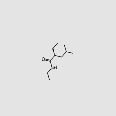 CCNC(=O)[C@@H](CC)CC(C)C